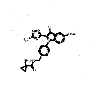 COc1ccc2c(c1)c(Cl)c(-c1nc(C)no1)n2-c1ccc(CNC(=O)C2(N)CC2)cc1